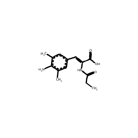 CCC(=O)NC(=Cc1cc(C)c(N)c(C)c1)C(=O)O